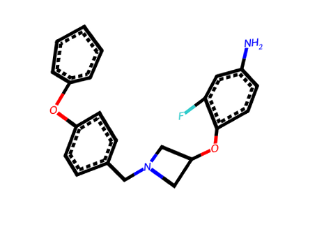 Nc1ccc(OC2CN(Cc3ccc(Oc4ccccc4)cc3)C2)c(F)c1